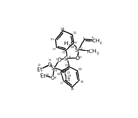 C=C[Si](C)(C)O[Si](O[Si](OCC)(OCC)OCC)(c1ccccc1)c1ccccc1